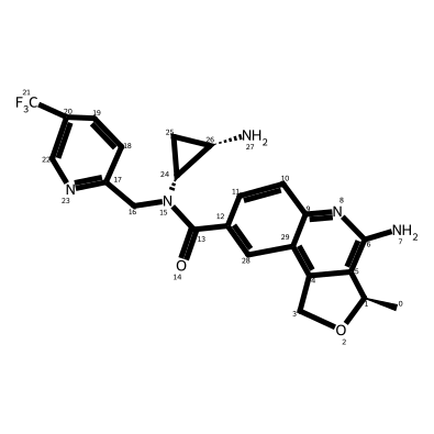 C[C@H]1OCc2c1c(N)nc1ccc(C(=O)N(Cc3ccc(C(F)(F)F)cn3)[C@@H]3C[C@@H]3N)cc21